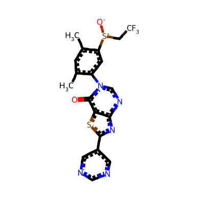 Cc1cc(C)c([S+]([O-])CC(F)(F)F)cc1-n1cnc2nc(-c3cncnc3)sc2c1=O